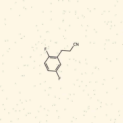 N#CC[CH]c1cc(F)ccc1F